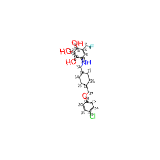 O[C@@H]1[C@@H](O)[C@@H](O)C(CF)=C[C@H]1NCC1CCC(COc2ccc(Cl)cc2)CC1